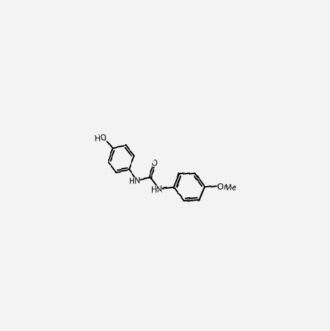 COc1ccc(NC(=O)Nc2ccc(O)cc2)cc1